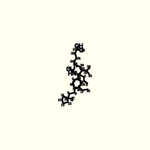 CCC[C@@]1(c2ccc(CCC3(F)CCCC3)c(CC)c2)NC(=O)N(CCCC(=O)O)C=C1C(C)C